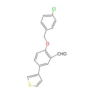 O=Cc1cc(-c2ccsc2)ccc1OCc1ccc(Cl)cc1